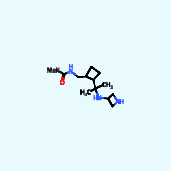 CNC(=O)NCC1CCC1C(C)(C)NC1CNC1